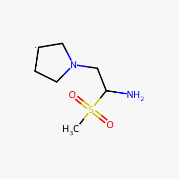 CS(=O)(=O)C(N)CN1C[CH]CC1